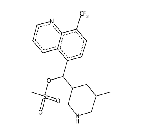 CC1CNCC(C(OS(C)(=O)=O)c2ccc(C(F)(F)F)c3ncccc23)C1